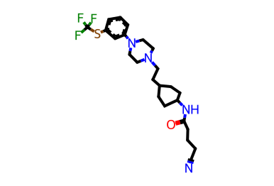 N#CCCCC(=O)NC1CCC(CCN2CCN(c3cccc(SC(F)(F)F)c3)CC2)CC1